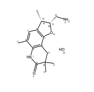 Cc1cc2c(c3c1NC(=O)C(C)(C)C3)O[C@@H](CN)[C@H]2C.Cl